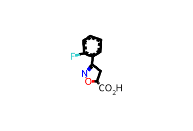 O=C(O)C1CC(c2ccccc2F)=NO1